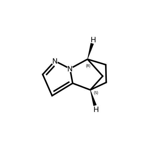 c1cc2n(n1)[C@@H]1CC[C@H]2C1